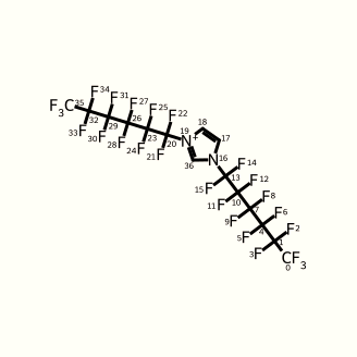 FC(F)(F)C(F)(F)C(F)(F)C(F)(F)C(F)(F)C(F)(F)n1cc[n+](C(F)(F)C(F)(F)C(F)(F)C(F)(F)C(F)(F)C(F)(F)F)c1